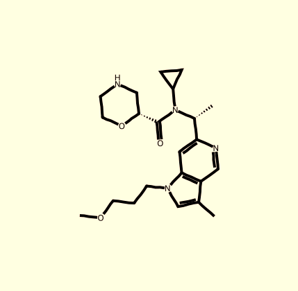 COCCCn1cc(C)c2cnc([C@@H](C)N(C(=O)[C@H]3CNCCO3)C3CC3)cc21